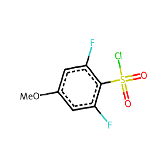 COc1cc(F)c(S(=O)(=O)Cl)c(F)c1